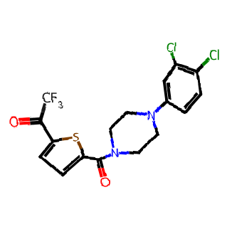 O=C(c1ccc(C(=O)C(F)(F)F)s1)N1CCN(c2ccc(Cl)c(Cl)c2)CC1